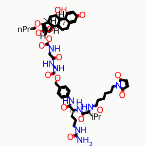 CCCC1O[C@@H]2C[C@H]3[C@@H]4CCC5=CC(=O)C=C[C@]5(C)[C@H]4[C@@H](O)C[C@]3(C)C2(C(=O)COC(=O)NCC(=O)NNC(=O)OCc2ccc(NC(=O)[C@H](CCCNC(N)=O)NC(=O)[C@@H](NC(=O)CCCCCN3C(=O)C=CC3=O)C(C)C)cc2)O1